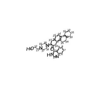 O=c1[nH]cnc2ccccc12.OCCN1CCN(c2ccc3c4c(ccc3c2)C2=C(CCC=C2)CC4)CC1